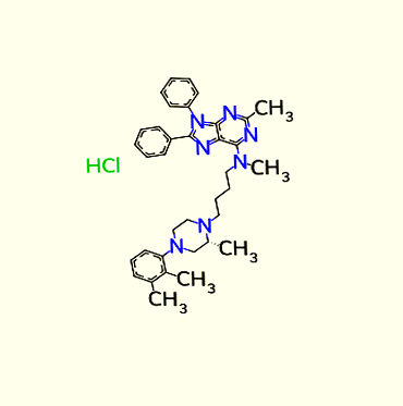 Cc1nc(N(C)CCCCN2CCN(c3cccc(C)c3C)C[C@H]2C)c2nc(-c3ccccc3)n(-c3ccccc3)c2n1.Cl